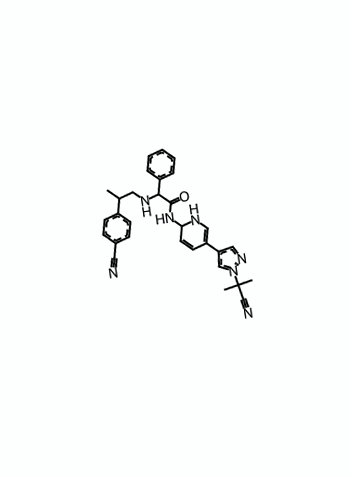 CC(CNC(C(=O)NC1C=CC(c2cnn(C(C)(C)C#N)c2)=CN1)c1ccccc1)c1ccc(C#N)cc1